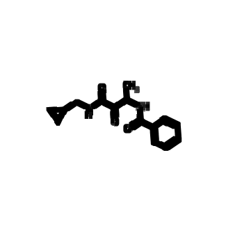 CC(NC(=O)c1ccccc1)C(=O)C(=O)NCC1CC1